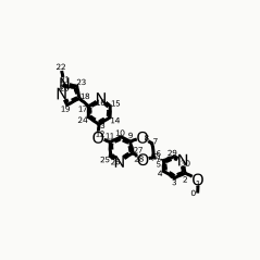 COc1ccc([C@H]2COc3cc(Oc4ccnc(-c5cnn(C)c5)c4)cnc3O2)cn1